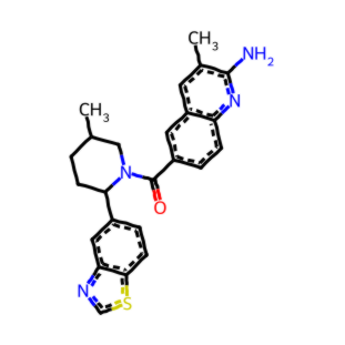 Cc1cc2cc(C(=O)N3CC(C)CCC3c3ccc4scnc4c3)ccc2nc1N